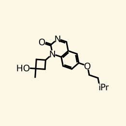 CC(C)CCOc1ccc2c(cnc(=O)n2C2CC(C)(O)C2)c1